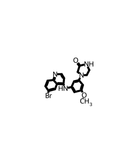 COc1cc(Nc2ccnc3ccc(Br)cc23)cc(N2CCNC(=O)C2)c1